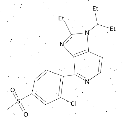 CCc1nc2c(-c3ccc(S(C)(=O)=O)cc3Cl)nccc2n1C(CC)CC